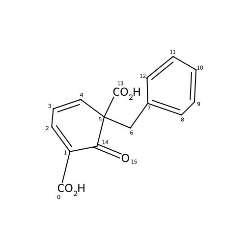 O=C(O)C1=CC=CC(Cc2ccccc2)(C(=O)O)C1=O